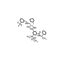 C[C@@H](NC(=O)c1cc(C(=O)N[C@@H](Cc2ccccc2)[C@H](O)CNCc2cccc(C(F)(F)F)c2)cc(N(C)S(C)(=O)=O)c1)c1ccccc1